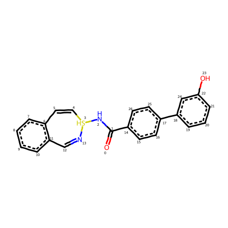 O=C(N[SH]1C=Cc2ccccc2C=N1)c1ccc(-c2cccc(O)c2)cc1